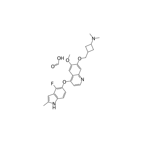 COc1cc2c(Oc3ccc4[nH]c(C)cc4c3F)ccnc2cc1OCC1CC(N(C)C)C1.O=CO